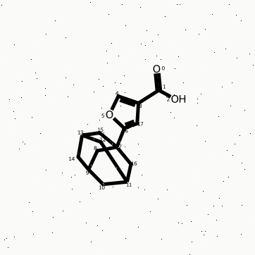 O=C(O)c1coc(C23CC4CC(CC(C4)C2)C3)c1